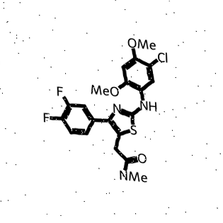 CNC(=O)Cc1sc(Nc2cc(Cl)c(OC)cc2OC)nc1-c1ccc(F)c(F)c1